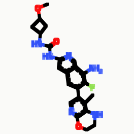 COC1CC(NC(=O)Nc2cc3cc(-c4cnc5c(c4C)NCCO5)c(F)c(N)c3cn2)C1